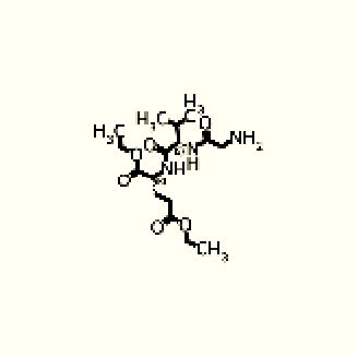 CCOC(=O)CC[C@@H](NC(=O)[C@@H](NC(=O)CN)C(C)C)C(=O)OCC